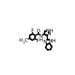 Cc1cc(F)c(C(=O)Nc2c[nH]nc2-c2nc3ccccc3[nH]2)c(F)c1